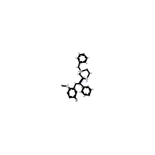 COc1ccc(F)cc1C/C(=C1\CN(Cc2ccccc2)CCO1)c1ccccc1